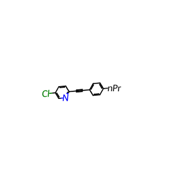 CCCc1ccc(C#Cc2ccc(Cl)cn2)cc1